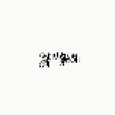 C[C@@H](O)[C@H]1C(=O)N2C(C(=O)O)=C(CN3CCC[C@@H]3CNC(=O)c3ccc(O)c(O)c3Cl)[C@H](C)[C@H]12